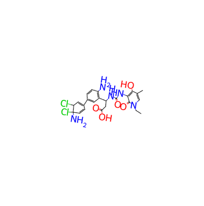 CCn1cc(C)c(O)c(NC(=O)NC(CC(=O)O)c2cc(C3=CC(Cl)C(N)(Cl)C=C3)ccc2N)c1=O